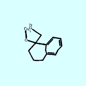 COC1(CO)CCCc2ccccc21